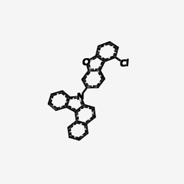 Clc1cccc2oc3cc(-n4c5ccccc5c5c6ccccc6ccc54)ccc3c12